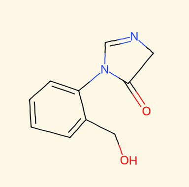 O=C1CN=CN1c1ccccc1CO